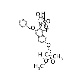 CCOC(=O)C(C)(C)CCOc1ccc2cc(OCc3ccccc3)c(N3CC(=O)NS3(=O)=O)c(F)c2c1